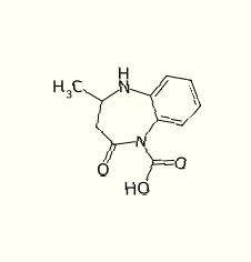 CC1CC(=O)N(C(=O)O)c2ccccc2N1